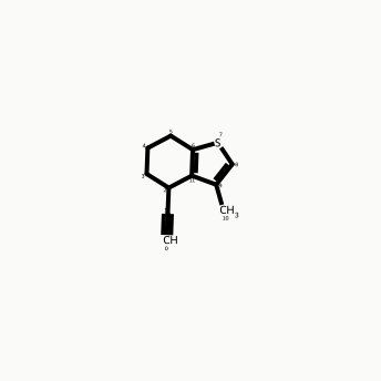 C#CC1CCCc2scc(C)c21